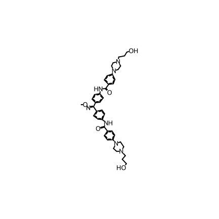 CON=C(c1ccc(NC(=O)c2ccc(N3CCN(CCCO)CC3)cc2)cc1)c1ccc(NC(=O)c2ccc(N3CCN(CCCO)CC3)cc2)cc1